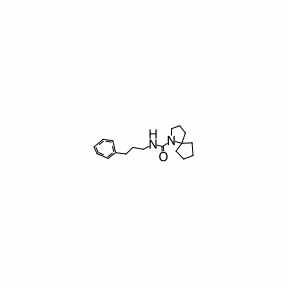 O=C(NCCCc1ccccc1)N1CCCC12CCCC2